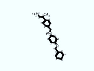 CC(CN)c1ccc(CNc2ccc(OCc3ccccc3)cc2)cc1